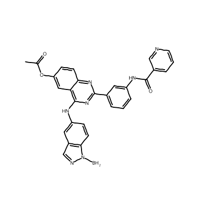 Bn1ncc2cc(Nc3nc(-c4cccc(NC(=O)c5cccnc5)c4)nc4ccc(OC(C)=O)cc34)ccc21